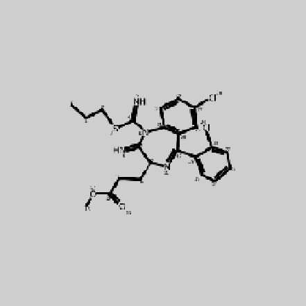 CCCSC(=N)N1C(=N)[C@H](CCC(=O)OC)N=C(c2ccccc2Cl)c2cc(Cl)ccc21